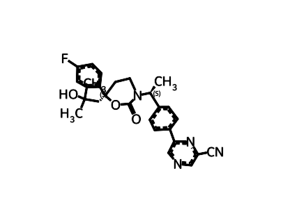 C[C@@H](c1ccc(-c2cncc(C#N)n2)cc1)N1CC[C@](CC(C)(C)O)(c2ccc(F)cc2)OC1=O